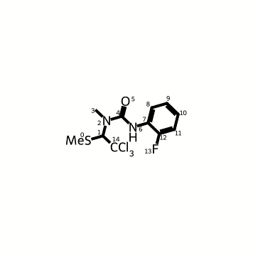 CSC(N(C)C(=O)Nc1ccccc1F)C(Cl)(Cl)Cl